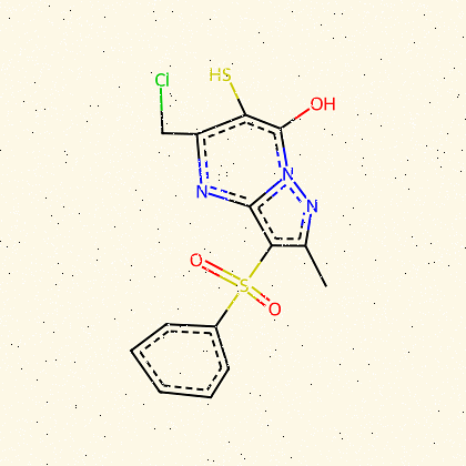 Cc1nn2c(O)c(S)c(CCl)nc2c1S(=O)(=O)c1ccccc1